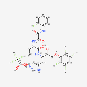 CC(C)CC(NC(=O)C(=O)Nc1ccccc1F)C(=O)NC(Cc1cnc[nH]1)C(=O)COc1c(F)c(F)cc(F)c1F.O=C(O)C(F)(F)F